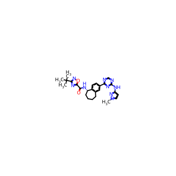 Cn1ccc(Nc2ncnc(-c3ccc4c(c3)CCCC[C@@H]4NC(=O)c3nc(C(C)(C)C)no3)n2)n1